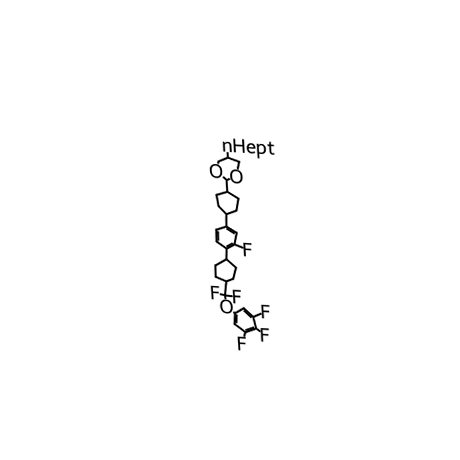 CCCCCCCC1COC(C2CCC(c3ccc(C4CCC(C(F)(F)Oc5cc(F)c(F)c(F)c5)CC4)c(F)c3)CC2)OC1